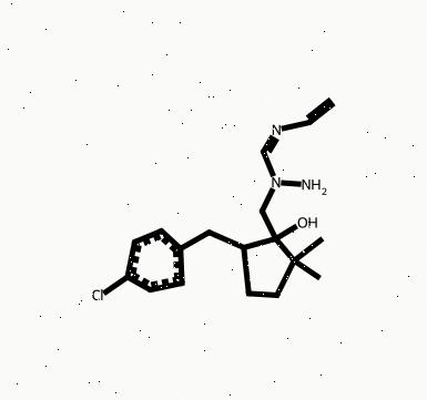 C=C/N=C\N(N)CC1(O)C(Cc2ccc(Cl)cc2)CCC1(C)C